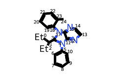 CCC(CC)C1N(c2ccccc2)c2nccnc2N1c1ccccc1C